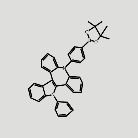 CC1(C)OB(c2ccc(N3c4ccccc4-c4c(n(-c5ccccc5)c5ccccc45)-c4ccccc43)cc2)OC1(C)C